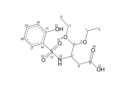 CCOC(OCC)C(CC(=O)O)NS(=O)(=O)c1ccccc1O